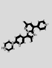 Cc1cc(-c2ccncc2)c2nc(C)c(-c3ccc(N4CCNCC4)nc3)n2n1